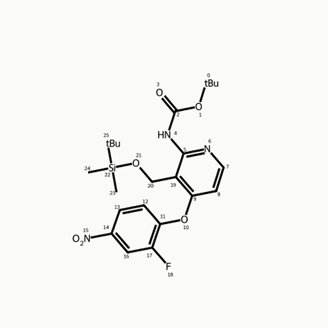 CC(C)(C)OC(=O)Nc1nccc(Oc2ccc([N+](=O)[O-])cc2F)c1CO[Si](C)(C)C(C)(C)C